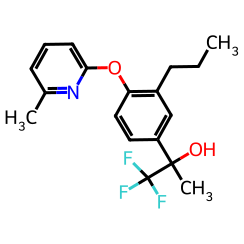 CCCc1cc(C(C)(O)C(F)(F)F)ccc1Oc1cccc(C)n1